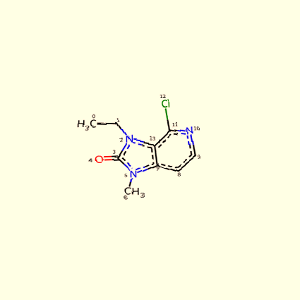 CCn1c(=O)n(C)c2ccnc(Cl)c21